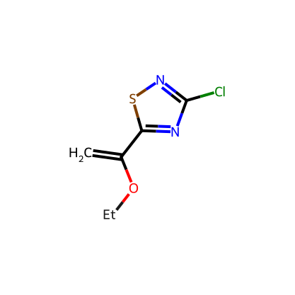 C=C(OCC)c1nc(Cl)ns1